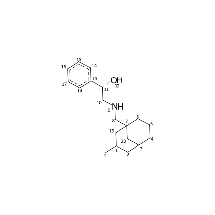 CC1CC2CCCC(CNC[C@@H](O)c3ccccc3)(C1)C2